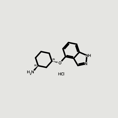 Cl.N[C@H]1CCC[C@H](Oc2cccc3[nH]ncc23)C1